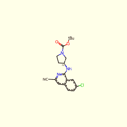 CC(C)(C)OC(=O)N1CC[C@H](Nc2nc(C#N)cc3ccc(Cl)cc23)C1